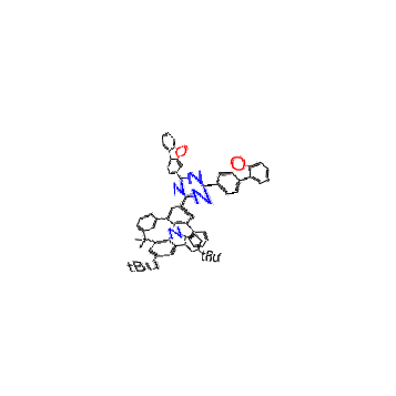 CC(C)(C)c1ccc2c(c1)c1cc(C(C)(C)C)cc3c1n2-c1c(-c2ccccc2)cc(-c2nc(-c4ccc5c(c4)oc4ccccc45)nc(-c4ccc5c(c4)oc4ccccc45)n2)cc1-c1cccc(c1)C3(C)C